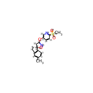 Cc1ccc2c(c1)CC[C@@]21CC(Oc2ccc(S(C)(=O)=O)nc2)=NO1